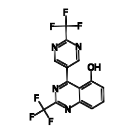 Oc1cccc2nc(C(F)(F)F)nc(-c3cnc(C(F)(F)F)nc3)c12